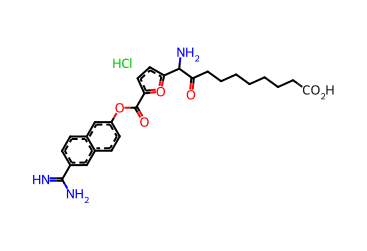 Cl.N=C(N)c1ccc2cc(OC(=O)c3ccc(C(N)C(=O)CCCCCCCC(=O)O)o3)ccc2c1